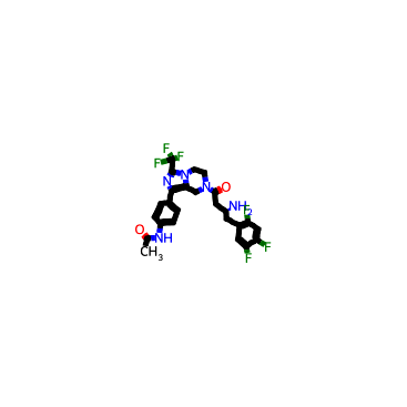 CC(=O)Nc1ccc(-c2nc(C(F)(F)F)n3c2CN(C(=O)C[C@H](N)Cc2cc(F)c(F)cc2F)CC3)cc1